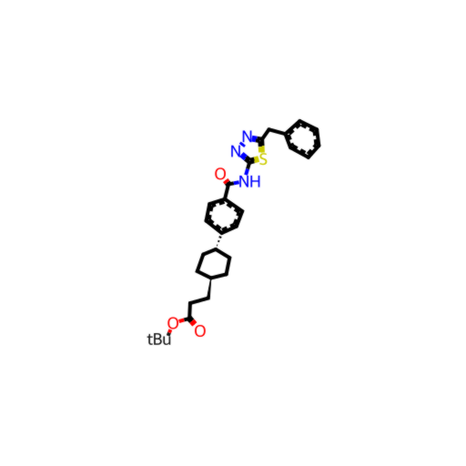 CC(C)(C)OC(=O)CC[C@H]1CC[C@H](c2ccc(C(=O)Nc3nnc(Cc4ccccc4)s3)cc2)CC1